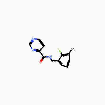 O=C(NCc1cccc(C(F)(F)F)c1F)c1ccncn1